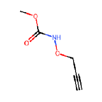 C#CCONC(=O)OC